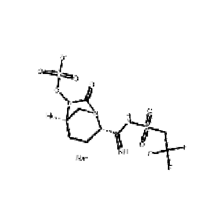 N=C(NS(=O)(=O)CC(F)(F)F)[C@@H]1CC[C@@H]2CN1C(=O)N2OS(=O)(=O)[O-].[Na+]